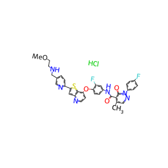 COCCNCc1ccc(-c2cc3nccc(Oc4ccc(NC(=O)c5c(C)cnn(-c6ccc(F)cc6)c5=O)cc4F)c3s2)nc1.Cl